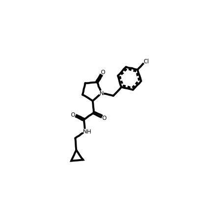 O=C(NCC1CC1)C(=O)C1CCC(=O)N1Cc1ccc(Cl)cc1